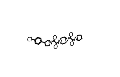 O=C(C(=O)N1CCN(C(=O)C(=O)N2CCC(c3ccc(Cl)cc3)C2)CC1)N1CCCC1